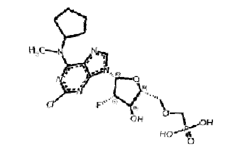 CN(c1nc(Cl)nc2c1ncn2[C@@H]1O[C@H](COCP(=O)(O)O)[C@@H](O)[C@@H]1F)C1CCCC1